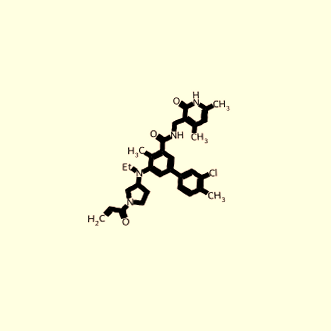 C=CC(=O)N1CCC(N(CC)c2cc(-c3ccc(C)c(Cl)c3)cc(C(=O)NCc3c(C)cc(C)[nH]c3=O)c2C)C1